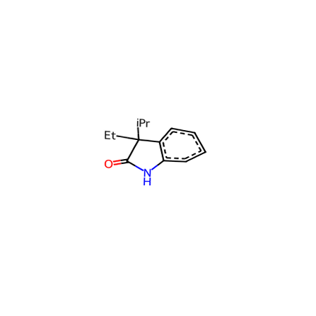 CCC1(C(C)C)C(=O)Nc2ccccc21